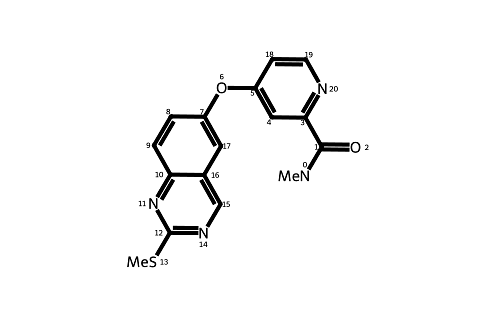 CNC(=O)c1cc(Oc2ccc3nc(SC)ncc3c2)ccn1